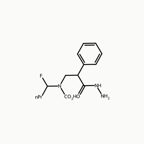 CCCC(F)N(CC(C(=O)NN)c1ccccc1)C(=O)O